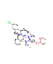 C=C(c1ccc(Cl)cc1C)N(Cc1ccccc1)/C(C(=O)N(C)CCCOC1CCCCO1)=C(\C)N(C=O)C(C)C